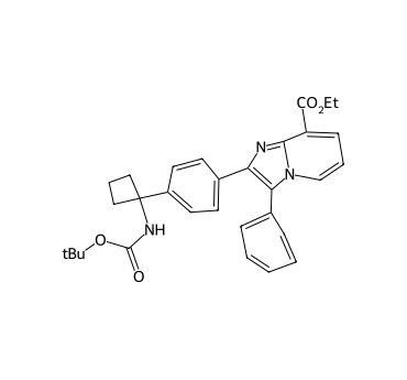 CCOC(=O)c1cccn2c(-c3ccccc3)c(-c3ccc(C4(NC(=O)OC(C)(C)C)CCC4)cc3)nc12